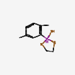 Cc1ccc(C)c([PH]2(S)SCCS2)c1